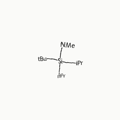 CCC[Si](NC)(C(C)C)C(C)(C)C